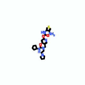 Nc1cscc1NC(=O)Oc1ccc(CN(CCN2CCCC2)C(=O)NC2CCCC2)cn1